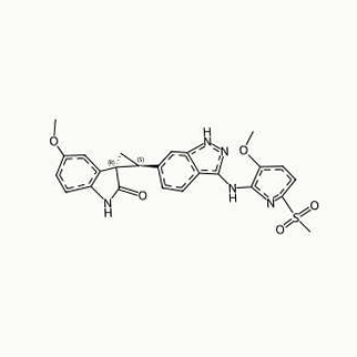 COc1ccc2c(c1)[C@]1(C[C@H]1c1ccc3c(Nc4nc(S(C)(=O)=O)ccc4OC)n[nH]c3c1)C(=O)N2